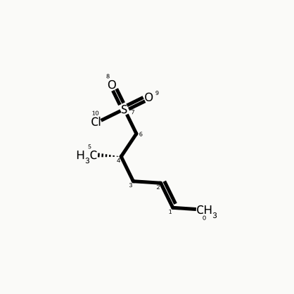 C/C=C/C[C@H](C)CS(=O)(=O)Cl